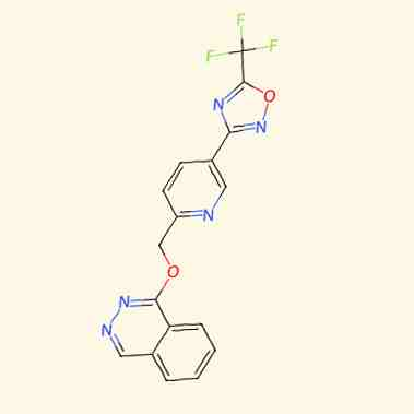 FC(F)(F)c1nc(-c2ccc(COc3nncc4ccccc34)nc2)no1